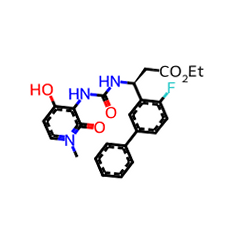 CCOC(=O)C[C@H](NC(=O)Nc1c(O)ccn(C)c1=O)c1cc(-c2ccccc2)ccc1F